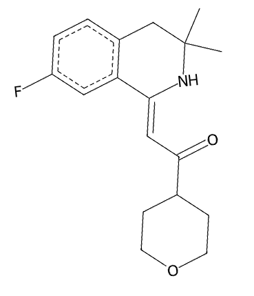 CC1(C)Cc2ccc(F)cc2C(=CC(=O)C2CCOCC2)N1